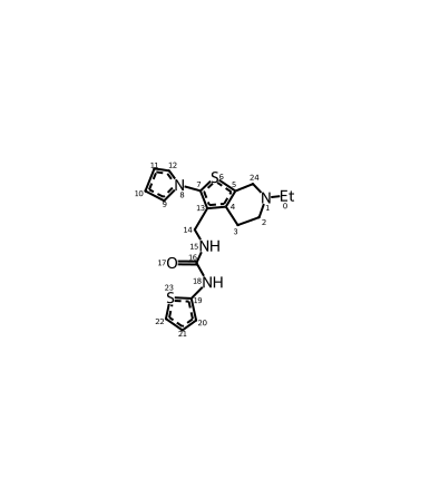 CCN1CCc2c(sc(-n3cccc3)c2CNC(=O)Nc2cccs2)C1